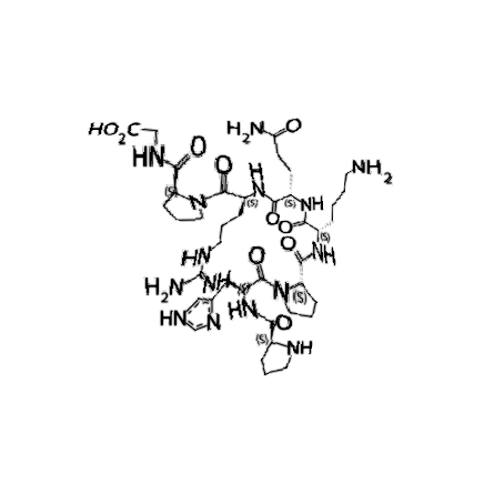 N=C(N)NCCC[C@H](NC(=O)[C@H](CCC(N)=O)NC(=O)[C@H](CCCCN)NC(=O)[C@@H]1CCCN1C(=O)[C@H](Cc1c[nH]cn1)NC(=O)[C@@H]1CCCN1)C(=O)N1CCC[C@H]1C(=O)NCC(=O)O